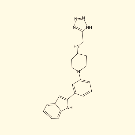 c1cc(-c2cc3ccccc3[nH]2)cc(N2CCC(NCc3nnn[nH]3)CC2)c1